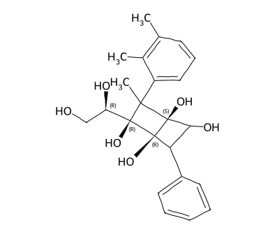 Cc1cccc(C2(C)[C@]3(O)C(O)C(c4ccccc4)[C@]3(O)[C@]2(O)[C@H](O)CO)c1C